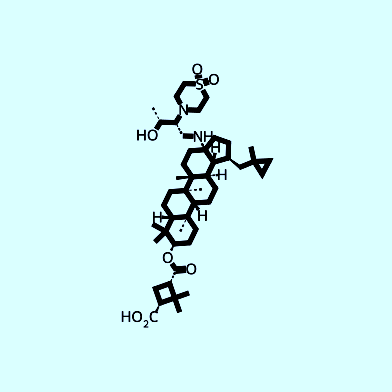 C[C@@H](O)[C@@H](CN[C@]12CC[C@@H](CC3(C)CC3)[C@@H]1[C@H]1CC[C@@H]3[C@@]4(C)CC[C@H](OC(=O)[C@H]5C[C@@H](C(=O)O)C5(C)C)C(C)(C)[C@@H]4CC[C@@]3(C)[C@]1(C)CC2)N1CCS(=O)(=O)CC1